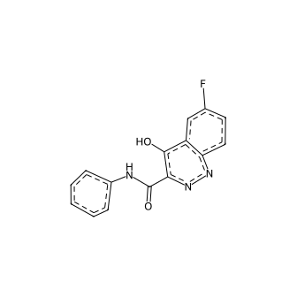 O=C(Nc1ccccc1)c1nnc2ccc(F)cc2c1O